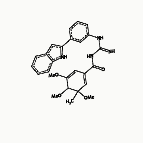 COC1=CC(C(=O)NC(=N)Nc2cccc(-c3cc4ccccc4[nH]3)c2)=CC(C)(OC)C1OC